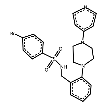 O=S(=O)(NCc1ccccc1N1CCN(c2ccncc2)CC1)c1ccc(Br)cc1